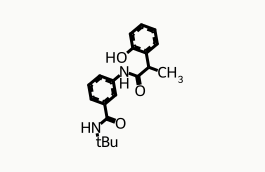 CC(C(=O)Nc1cccc(C(=O)NC(C)(C)C)c1)c1ccccc1O